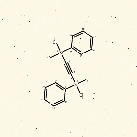 C[Si](Cl)(C#C[Si](C)(Cl)c1ccccc1)c1ccccc1